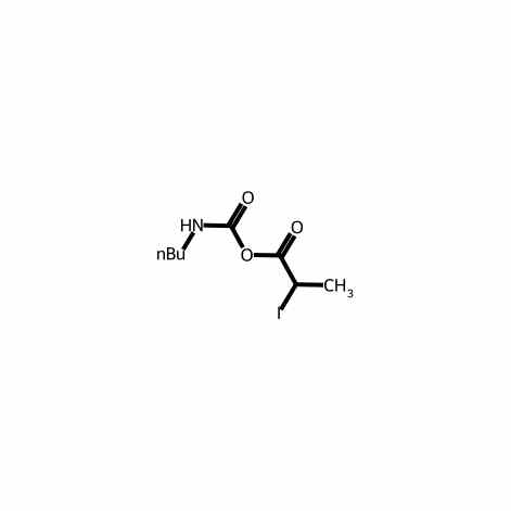 CCCCNC(=O)OC(=O)C(C)I